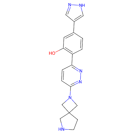 Oc1cc(-c2cn[nH]c2)ccc1-c1ccc(N2CC3(CCNC3)C2)nn1